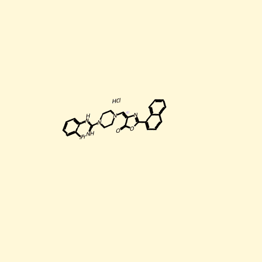 CC(C)c1ccccc1NC(=N)N1CCN(/C=C2/N=C(c3cccc4ccccc34)OC2=O)CC1.Cl